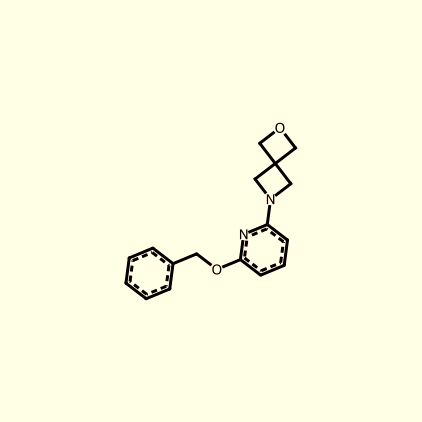 c1ccc(COc2cccc(N3CC4(COC4)C3)n2)cc1